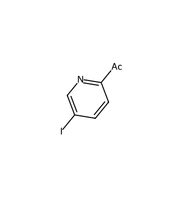 CC(=O)c1ccc(I)cn1